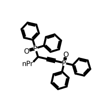 CCCC(C#CP(=O)(c1ccccc1)c1ccccc1)P(=O)(c1ccccc1)c1ccccc1